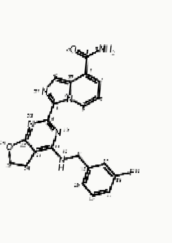 NC(=O)c1cccn2c(-c3nc(NCc4cccc(F)c4)c4c(n3)OCC4)ncc12